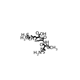 CON=C(C(=O)NC1C(=O)N2C(C(=O)O)=C(C=CC[N+](C)(C)C)SCC12)c1csc(N)n1